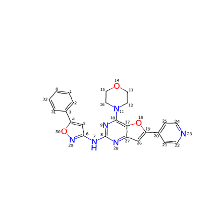 c1ccc(-c2cc(Nc3nc(N4CCOCC4)c4oc(-c5ccncc5)cc4n3)no2)cc1